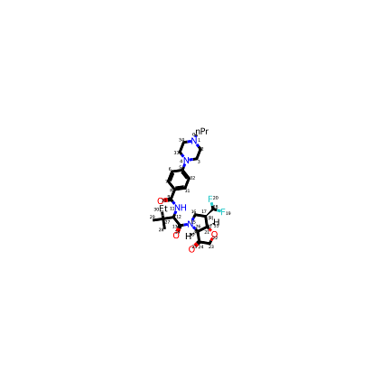 CCCN1CCN(c2ccc(C(=O)NC(C(=O)N3C[C@@H](C(F)F)[C@H]4OCC(=O)[C@H]43)C(C)(C)CC)cc2)CC1